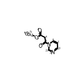 CC(C)(C)OC(=O)CC(=O)N1C=CC=NC1